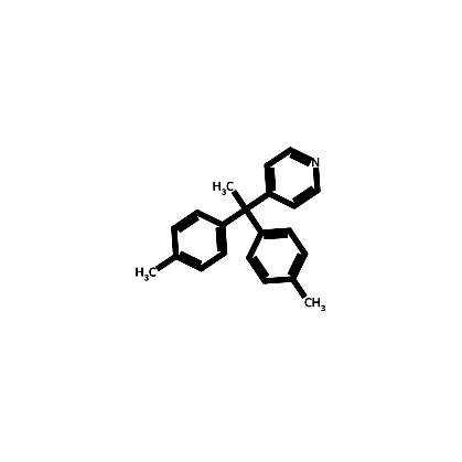 Cc1ccc(C(C)(c2ccncc2)c2ccc(C)cc2)cc1